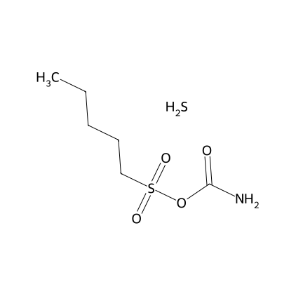 CCCCCS(=O)(=O)OC(N)=O.S